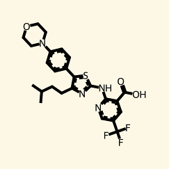 CC(C)CCc1nc(Nc2ncc(C(F)(F)F)cc2C(=O)O)sc1-c1ccc(N2CCOCC2)cc1